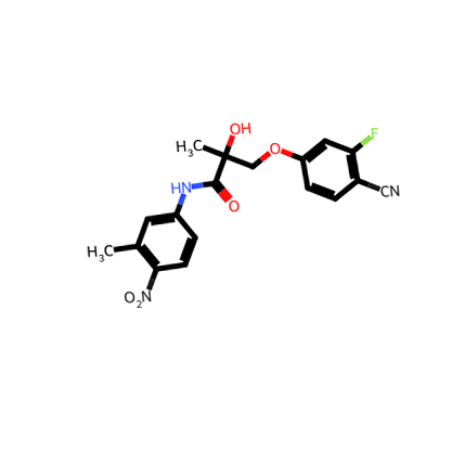 Cc1cc(NC(=O)C(C)(O)COc2ccc(C#N)c(F)c2)ccc1[N+](=O)[O-]